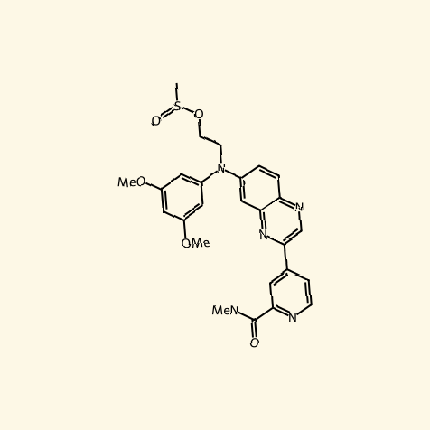 CNC(=O)c1cc(-c2cnc3ccc(N(CCOS(C)=O)c4cc(OC)cc(OC)c4)cc3n2)ccn1